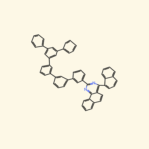 c1ccc(-c2cc(-c3ccccc3)cc(-c3cccc(-c4cccc(-c5cccc(-c6nc(-c7cccc8ccccc78)c7ccc8ccccc8c7n6)c5)c4)c3)c2)cc1